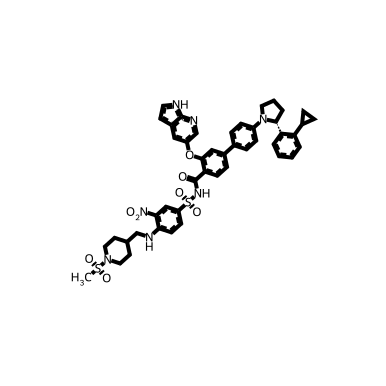 CS(=O)(=O)N1CCC(CNc2ccc(S(=O)(=O)NC(=O)c3ccc(-c4ccc(N5CCC[C@@H]5c5ccccc5C5CC5)cc4)cc3Oc3cnc4[nH]ccc4c3)cc2[N+](=O)[O-])CC1